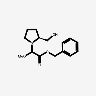 COC(C(=O)OCc1ccccc1)N1CCC[C@H]1CO